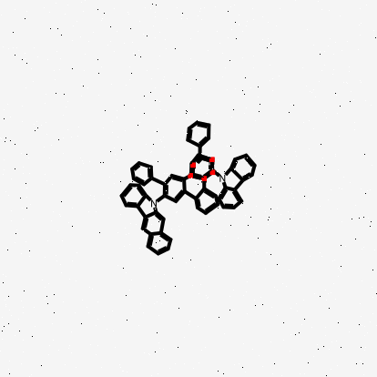 c1ccc(-c2nc(-c3cc(-c4ccccc4)c(-n4c5ccccc5c5cc6ccccc6cc54)cc3-c3ccccc3-c3ccccc3)nc(-n3c4ccccc4c4ccccc43)n2)cc1